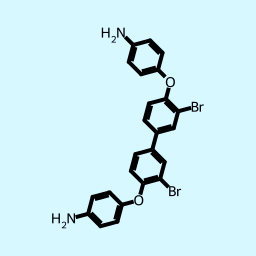 Nc1ccc(Oc2ccc(-c3ccc(Oc4ccc(N)cc4)c(Br)c3)cc2Br)cc1